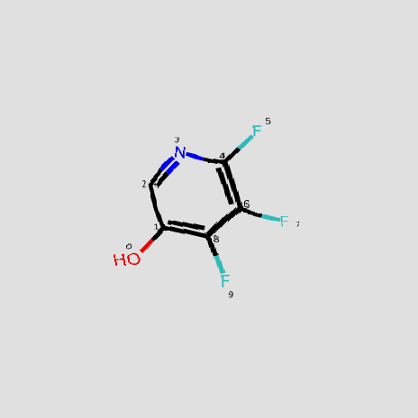 Oc1[c]nc(F)c(F)c1F